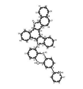 c1ccc(-c2ccc3c(c2)Oc2cccc(-n4c5ccccc5c5c6c7ccc8ccccc8c7sc6c6ccccc6c54)c2S3)nc1